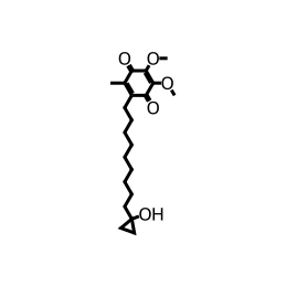 COC1=C(OC)C(=O)C(CCCCCCCCCC2(O)CC2)=C(C)C1=O